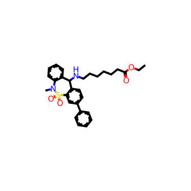 CCOC(=O)CCCCCCNC1c2ccccc2N(C)S(=O)(=O)c2cc(-c3ccccc3)ccc21